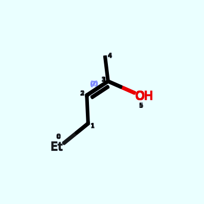 CCC/C=C(/C)O